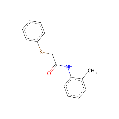 Cc1ccccc1NC(=O)CSc1ccccc1